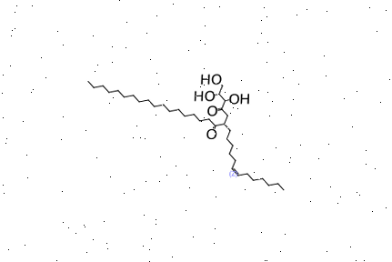 CCCCCC/C=C\CCCCCC(CC(=O)C(O)C(O)CO)C(=O)CCCCCCCCCCCCCCCCC